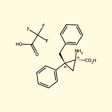 N[C@@]1(C(=O)O)C[C@]1(Cc1ccccc1)c1ccccc1.O=C(O)C(F)(F)F